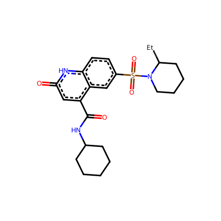 CCC1CCCCN1S(=O)(=O)c1ccc2[nH]c(=O)cc(C(=O)NC3CCCCC3)c2c1